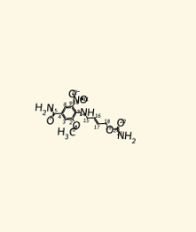 COc1cc(C(N)=O)cc([N+](=O)[O-])c1NCC=CCOC(N)=O